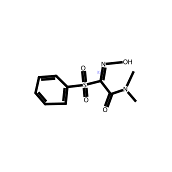 CN(C)C(=O)/C(=N\O)S(=O)(=O)c1ccccc1